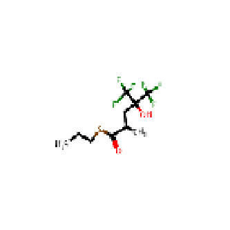 CCCSC(=O)C(C)CC(O)(C(F)(F)F)C(F)(F)F